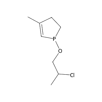 CC1=CP(OCC(C)Cl)CC1